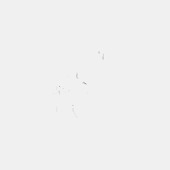 CC1(C)C2CC[C@@]1(CS(N)(=O)=O)C(NC(=O)O)C2